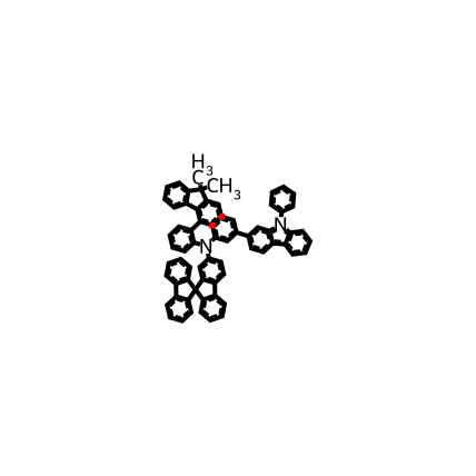 CC1(C)c2ccccc2-c2c(-c3ccccc3N(c3cccc(-c4ccc5c6ccccc6n(-c6ccccc6)c5c4)c3)c3ccc4c(c3)C3(c5ccccc5-c5ccccc53)c3ccccc3-4)cccc21